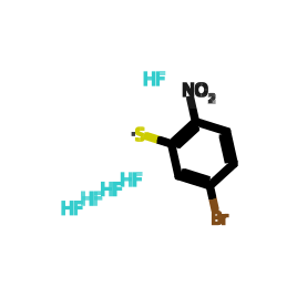 F.F.F.F.F.O=[N+]([O-])c1ccc(Br)cc1[S]